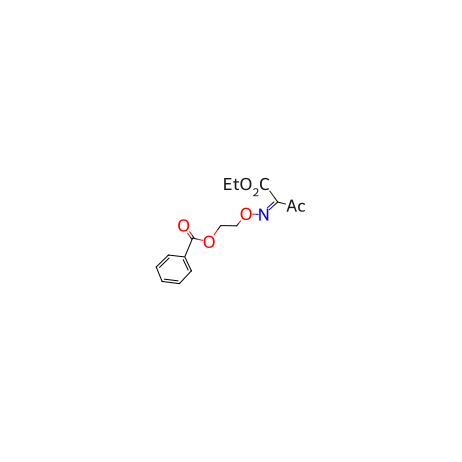 CCOC(=O)/C(=N\OCCOC(=O)c1ccccc1)C(C)=O